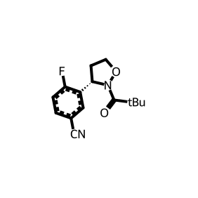 CC(C)(C)C(=O)N1OCC[C@H]1c1cc(C#N)ccc1F